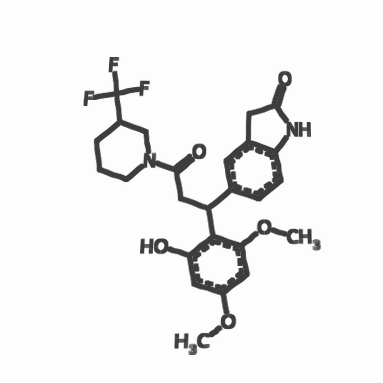 COc1cc(O)c(C(CC(=O)N2CCCC(C(F)(F)F)C2)c2ccc3c(c2)CC(=O)N3)c(OC)c1